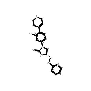 O=C1O[C@@H](COc2ccncn2)CN1c1ccc(C2=CCOCC2)c(F)c1